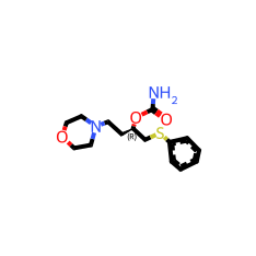 NC(=O)O[C@H](CCN1CCOCC1)CSc1ccccc1